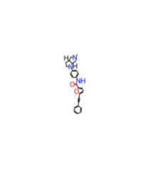 CN1C[C@@H]2CCN(c3ccc(NC(=O)c4ccc(C#Cc5ccccc5)o4)cc3)[C@@H]2C1